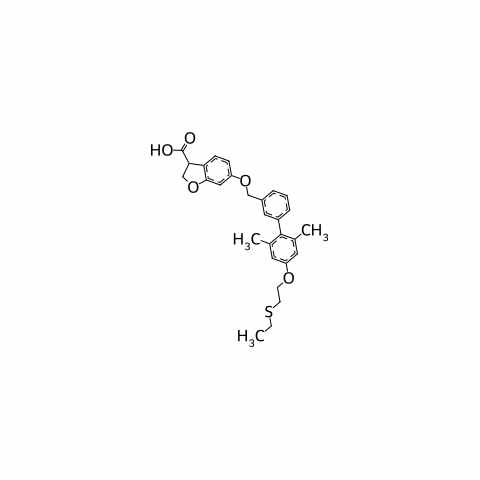 CCSCCOc1cc(C)c(-c2cccc(COc3ccc4c(c3)OCC4C(=O)O)c2)c(C)c1